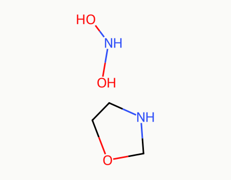 C1COCN1.ONO